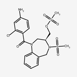 CS(=O)(=O)OC[C@@H]1CN(C(=O)c2ccc(N)cc2Cl)c2ccccc2CN1S(C)(=O)=O